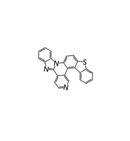 c1ccc2c(c1)nc1c3ccncc3c3c4c(ccc3n21)sc1ccccc14